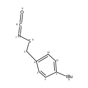 CC(C)(C)c1ccc(CSN=C=O)cc1